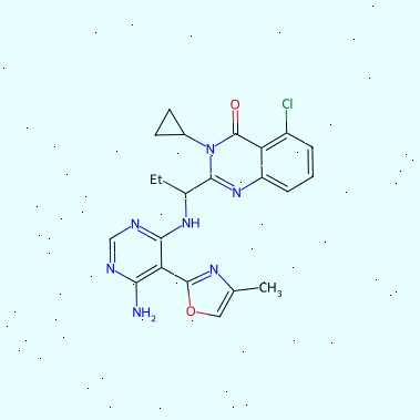 CCC(Nc1ncnc(N)c1-c1nc(C)co1)c1nc2cccc(Cl)c2c(=O)n1C1CC1